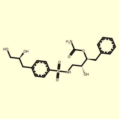 NC(=O)O[C@@H](Cc1ccccc1)[C@H](O)CNS(=O)(=O)c1ccc(C[C@H](O)CO)cc1